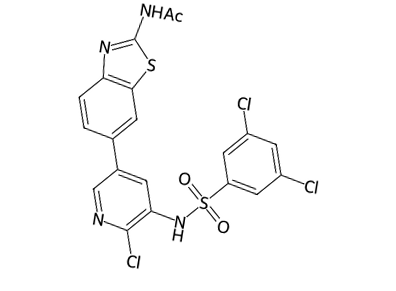 CC(=O)Nc1nc2ccc(-c3cnc(Cl)c(NS(=O)(=O)c4cc(Cl)cc(Cl)c4)c3)cc2s1